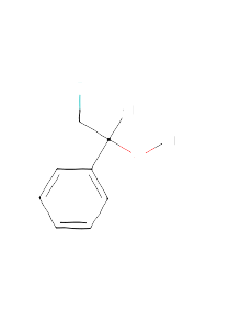 COC(C)(CF)c1ccccc1